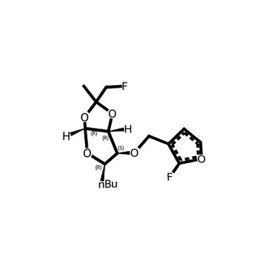 CCCC[C@H]1O[C@@H]2OC(C)(CF)O[C@@H]2[C@H]1OCc1ccoc1F